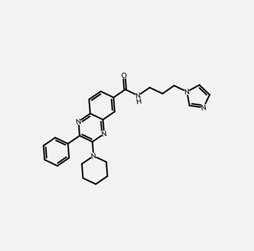 O=C(NCCCn1ccnc1)c1ccc2nc(-c3ccccc3)c(N3CCCCC3)nc2c1